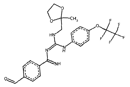 CC1(CN/C(=N/C(=N)c2ccc(C=O)cc2)Nc2ccc(OC(F)(F)C(F)(F)F)cc2)OCCO1